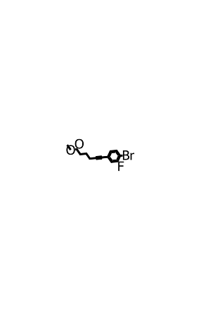 COC(=O)CCCC#Cc1ccc(Br)c(F)c1